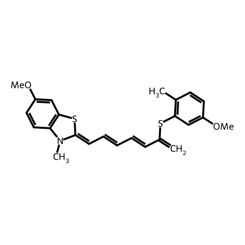 C=C(/C=C/C=C/C=C1\Sc2cc(OC)ccc2N1C)Sc1cc(OC)ccc1C